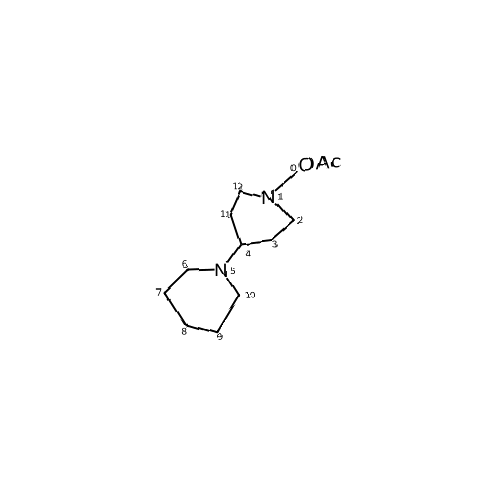 CC(=O)ON1CCC(N2CCCCC2)CC1